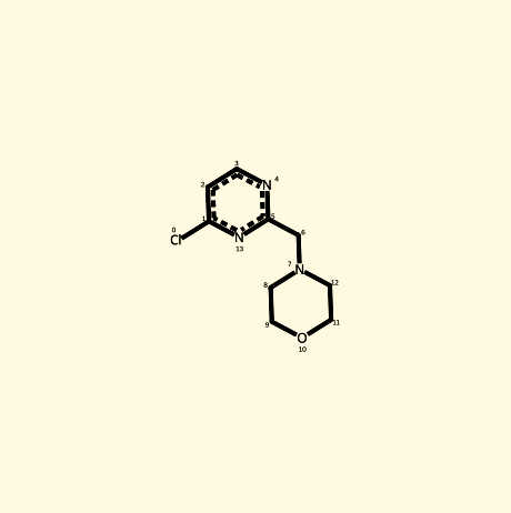 Clc1ccnc(CN2CCOCC2)n1